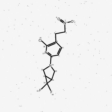 O=[N+]([O-])CCc1ccc(N2CC3C(C2)C3(F)F)nc1Cl